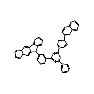 C1=CC2C=c3c(n(-c4cccc(-c5nc(-c6ccccc6)nc(-c6ccc(-c7ccc8ccccc8c7)cc6)n5)c4)c4ccccc34)=CC2C=C1